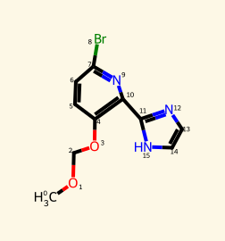 COCOc1ccc(Br)nc1-c1ncc[nH]1